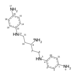 Nc1ccc(NCCC(N)CCNc2ccc(N)cc2)cc1